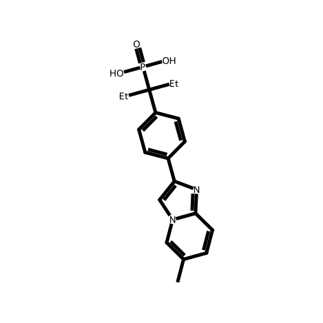 CCC(CC)(c1ccc(-c2cn3cc(C)ccc3n2)cc1)P(=O)(O)O